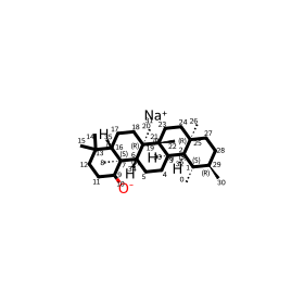 C[C@@H]1[C@H]2[C@H]3CC[C@@H]4[C@@]5(C)C([O-])CCC(C)(C)[C@@H]5CC[C@@]4(C)[C@]3(C)CC[C@@]2(C)CC[C@H]1C.[Na+]